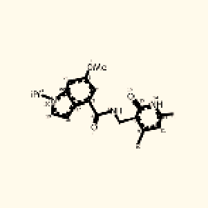 COc1cc(C(=O)NCc2c(C)cc(C)[nH]c2=O)c2ccn(C(C)C)c2c1